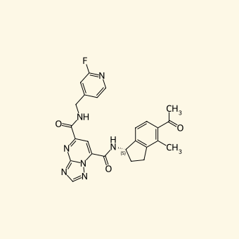 CC(=O)c1ccc2c(c1C)CC[C@@H]2NC(=O)c1cc(C(=O)NCc2ccnc(F)c2)nc2ncnn12